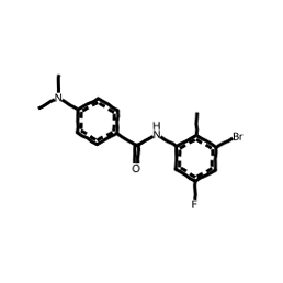 Cc1c(Br)cc(F)cc1NC(=O)c1ccc(N(C)C)cc1